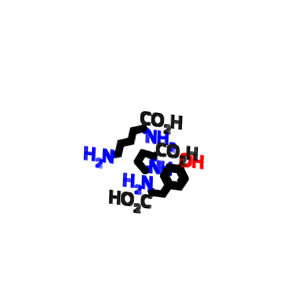 NCCCC[C@H](N)C(=O)O.N[C@@H](Cc1ccc(O)cc1)C(=O)O.O=C(O)[C@@H]1CCCN1